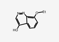 CCOc1cccc2c(O)cnnc12